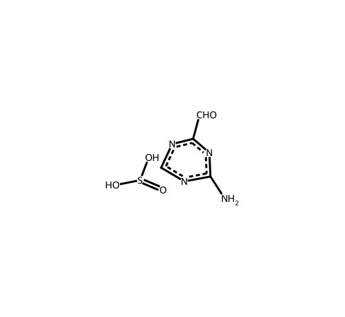 Nc1ncnc(C=O)n1.O=S(O)O